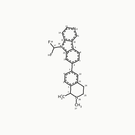 CC1c2ccc(-c3ccc4c5cnccc5n(C(F)F)c4c3)cc2CCN1C